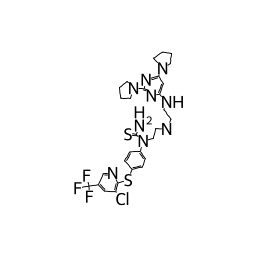 CN(CCNc1cc(N2CCCC2)nc(N2CCCC2)n1)CCN(C(N)=S)c1ccc(Sc2ncc(C(F)(F)F)cc2Cl)cc1